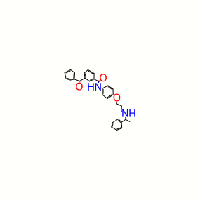 CC(NCCCOc1ccc(NC(=O)c2cccc(C(=O)c3ccccc3)c2)cc1)c1ccccc1